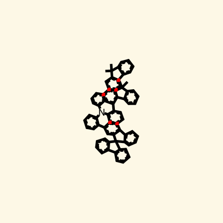 CC1(C)c2ccccc2-c2ccc(-c3cccc(N(c4ccccc4-c4ccc5c(c4)C4(c6ccccc6-c6ccccc64)c4ccccc4-5)c4ccccc4-c4cccc5c4-c4ccccc4C5(C)C)c3)cc21